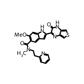 COc1cc2[nH]c(-c3nc4cscc4[nH]c3=O)cc2cc1C(=O)N(C)CCc1ccccn1